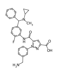 CN(C1CC1)C(c1ccccc1)c1ccc(F)c(NC(=O)c2cc(C(=O)O)nn2-c2cccc(CN)c2)c1